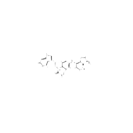 CC1Oc2cc(Nc3ccnc4c3CCC4O)ccc2N(CCc2c[nH]c3ccccc23)C1=O